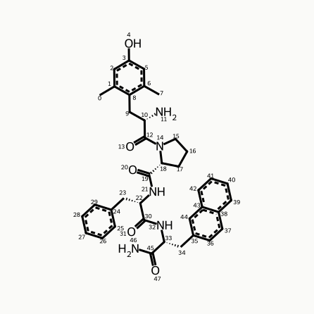 Cc1cc(O)cc(C)c1C[C@H](N)C(=O)N1CCC[C@@H]1C(=O)N[C@@H](Cc1ccccc1)C(=O)N[C@H](Cc1ccc2ccccc2c1)C(N)=O